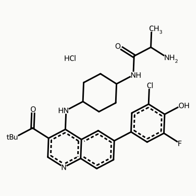 CC(N)C(=O)NC1CCC(Nc2c(C(=O)C(C)(C)C)cnc3ccc(-c4cc(F)c(O)c(Cl)c4)cc23)CC1.Cl